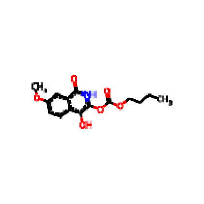 CCCCOC(=O)Oc1[nH]c(=O)c2cc(OC)ccc2c1O